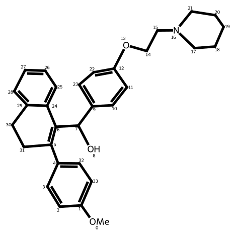 COc1ccc(C2=C(C(O)c3ccc(OCCN4CCCCC4)cc3)c3ccccc3CC2)cc1